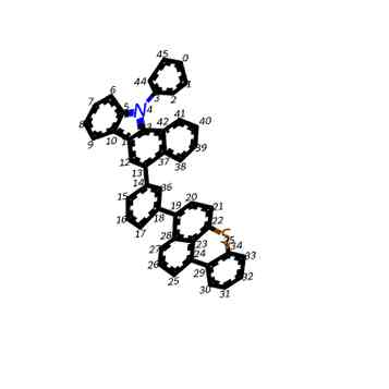 c1ccc(-n2c3ccccc3c3cc(-c4cccc(-c5ccc6c7c(cccc57)-c5ccccc5S6)c4)c4ccccc4c32)cc1